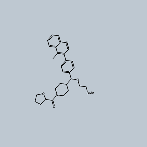 COCCOC(c1ccc(-c2cnc3ccccc3c2C)cc1)C1CCN(C(=O)C2CCCO2)CC1